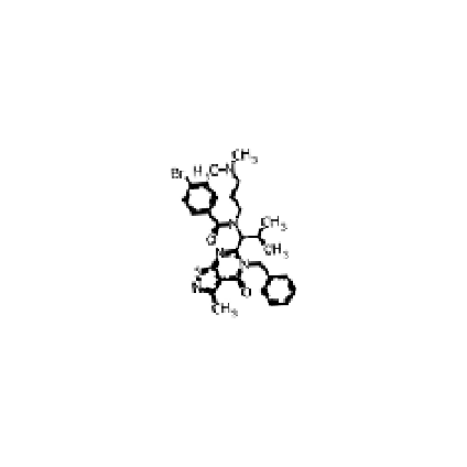 Cc1nsc2nc([C@H](C(C)C)N(CCCN(C)C)C(=O)c3ccc(Br)cc3)n(Cc3ccccc3)c(=O)c12